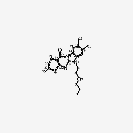 CCCOCCn1c2cc(C)c(C)cc2n2c(=O)c3ccc(C)cc3nc12